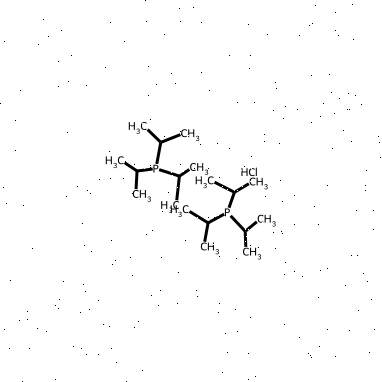 CC(C)P(C(C)C)C(C)C.CC(C)P(C(C)C)C(C)C.Cl